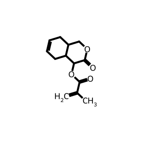 C=C(C)C(=O)OC1C(=O)OCC2CC=CCC21